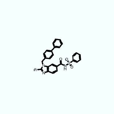 CC(C)c1nc2ccc(C(=O)NS(=O)(=O)c3ccccc3)cc2n1Cc1ccc(-c2ccccc2)cc1